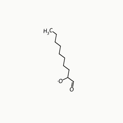 CCCCCCCCC([O])C=O